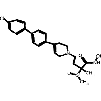 C[S+]([O-])C(C)(CCN1CC=C(c2ccc(-c3ccc(Cl)cc3)cc2)CC1)C(=O)NO